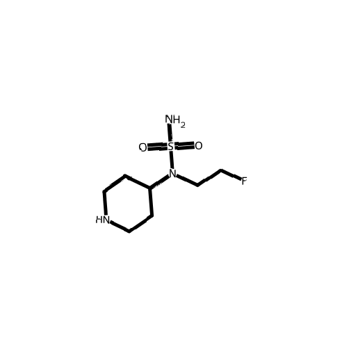 NS(=O)(=O)N(CCF)C1CCNCC1